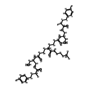 Cc1ccc(CCC(C)C(=O)OCC(CO)OC(=O)CCCN(CCCC(=O)OC(CO)COC(=O)C(C)CCc2ccc(C)cc2)C(=O)SCCCN(C)C)cc1